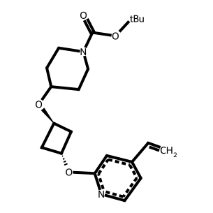 C=Cc1ccnc(O[C@H]2C[C@H](OC3CCN(C(=O)OC(C)(C)C)CC3)C2)c1